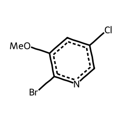 COc1cc(Cl)cnc1Br